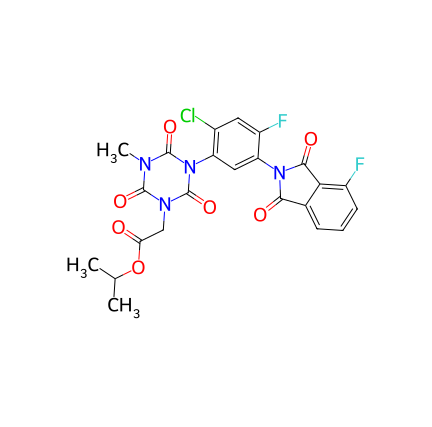 CC(C)OC(=O)Cn1c(=O)n(C)c(=O)n(-c2cc(N3C(=O)c4cccc(F)c4C3=O)c(F)cc2Cl)c1=O